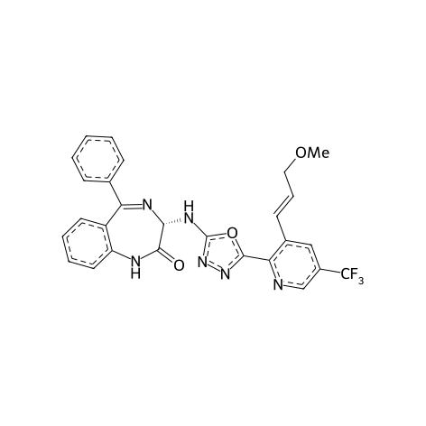 COC/C=C/c1cc(C(F)(F)F)cnc1-c1nnc(N[C@H]2N=C(c3ccccc3)c3ccccc3NC2=O)o1